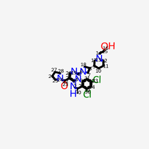 C[C@@H](Nc1nc(N2CC([C@H]3CCCN(CCO)C3)C2)ncc1C(=O)N1CCCC1)c1ccc(Cl)cc1Cl